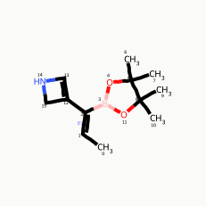 C/C=C(\B1OC(C)(C)C(C)(C)O1)C1=CNC1